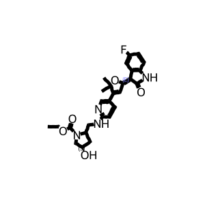 CCOC(=O)N1C[C@@H](O)CC1CNc1ccc(C2=C/C(=C3\C(=O)Nc4ccc(F)cc43)OC2(C)C)cn1